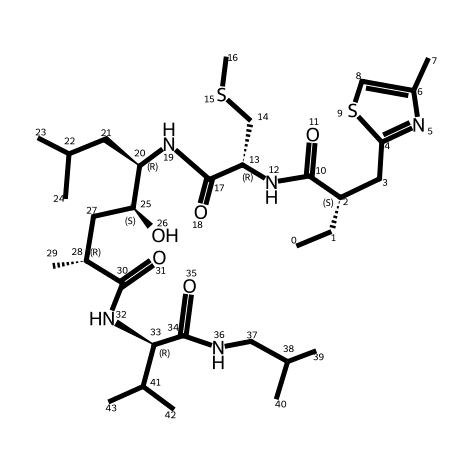 CC[C@@H](Cc1nc(C)cs1)C(=O)N[C@@H](CSC)C(=O)N[C@H](CC(C)C)[C@@H](O)C[C@@H](C)C(=O)N[C@@H](C(=O)NCC(C)C)C(C)C